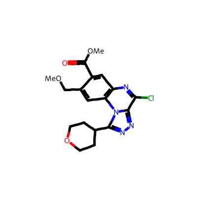 COCc1cc2c(cc1C(=O)OC)nc(Cl)c1nnc(C3CCOCC3)n12